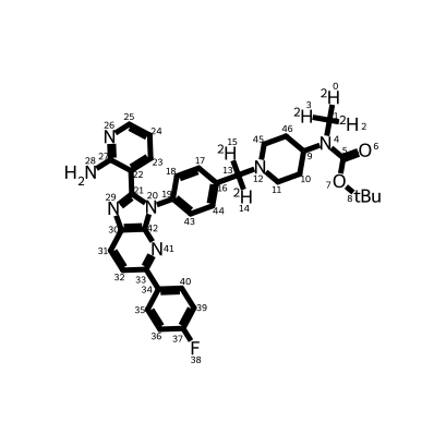 [2H]C([2H])([2H])N(C(=O)OC(C)(C)C)C1CCN(C([2H])([2H])c2ccc(-n3c(-c4cccnc4N)nc4ccc(-c5ccc(F)cc5)nc43)cc2)CC1